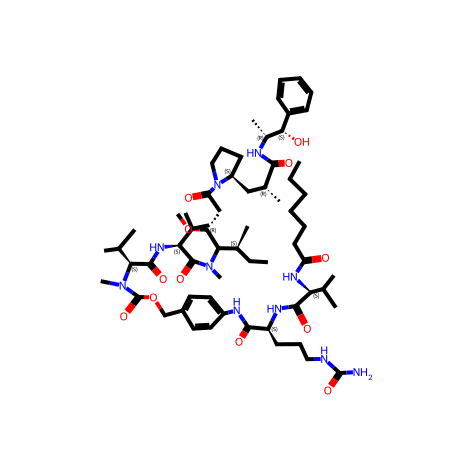 CCCCCCC(=O)N[C@H](C(=O)N[C@@H](CCCNC(N)=O)C(=O)Nc1ccc(COC(=O)N(C)[C@H](C(=O)N[C@H](C(=O)N(C)C([C@@H](C)CC)[C@@H](CC(=O)N2CCC[C@H]2C[C@@H](C)C(=O)N[C@H](C)[C@@H](O)c2ccccc2)OC)C(C)C)C(C)C)cc1)C(C)C